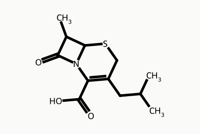 CC(C)CC1=C(C(=O)O)N2C(=O)C(C)C2SC1